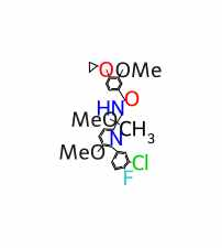 COc1cc(C(=O)NCC(C)(OC)c2ccc(OC)c(-c3ccc(F)c(Cl)c3)n2)ccc1OC1CC1